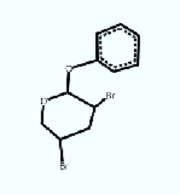 BrC1COC(Oc2ccccc2)C(Br)C1